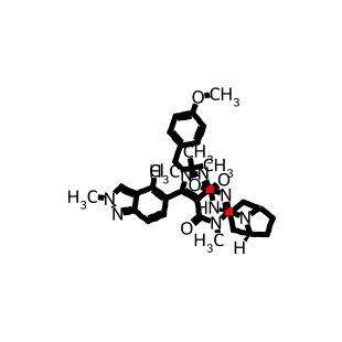 COc1ccc(Cn2nc3nc(N4C5CC[C@@H]4C[C@@H](NC(=O)OC(C)(C)C)C5)n(C)c(=O)c3c2-c2ccc3nn(C)cc3c2Cl)cc1